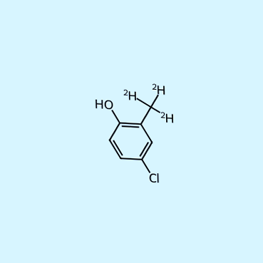 [2H]C([2H])([2H])c1cc(Cl)ccc1O